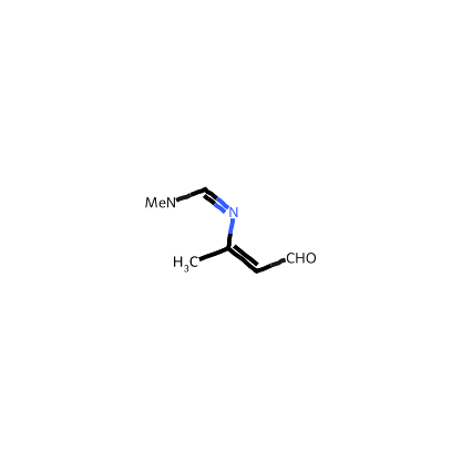 CN/C=N\C(C)=C/C=O